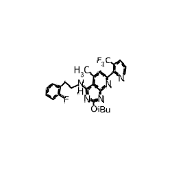 Cc1cc(-c2ncccc2C(F)(F)F)nc2nc(OCC(C)C)nc(NCCc3ccccc3F)c12